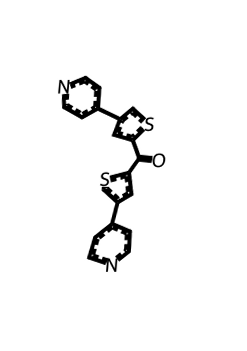 O=C(c1cc(-c2ccncc2)cs1)c1cc(-c2ccncc2)cs1